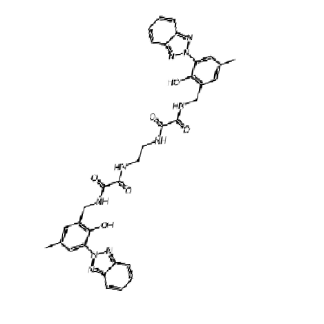 Cc1cc(CNC(=O)C(=O)NCCNC(=O)C(=O)NCc2cc(C)cc(-n3nc4ccccc4n3)c2O)c(O)c(-n2nc3ccccc3n2)c1